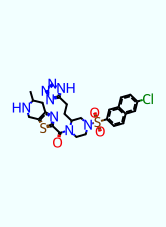 CC1Cc2nc(C(=O)N3CCN(S(=O)(=O)c4ccc5cc(Cl)ccc5c4)CC3CCc3nnn[nH]3)sc2CN1